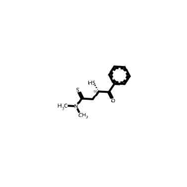 CN(C)C(=S)C[C@H](S)C(=O)c1ccccc1